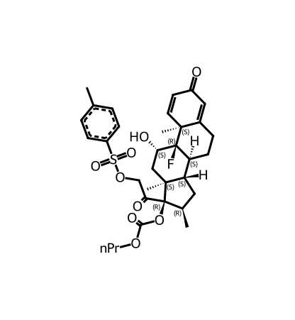 CCCOC(=O)O[C@]1(C(=O)COS(=O)(=O)c2ccc(C)cc2)[C@H](C)C[C@H]2[C@@H]3CCC4=CC(=O)C=C[C@]4(C)[C@@]3(F)[C@@H](O)C[C@@]21C